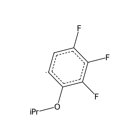 CC(C)Oc1[c]cc(F)c(F)c1F